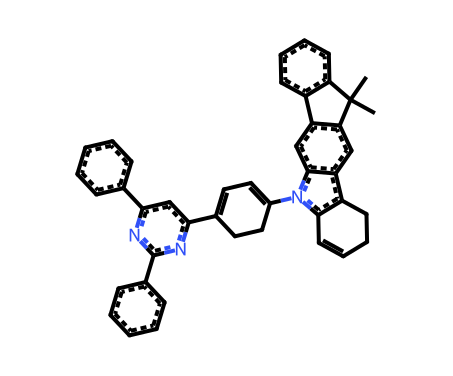 CC1(C)c2ccccc2-c2cc3c(cc21)c1c(n3C2=CC=C(c3cc(-c4ccccc4)nc(-c4ccccc4)n3)CC2)C=CCC1